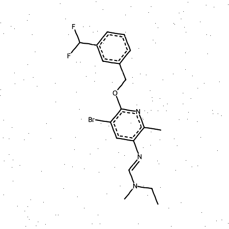 CCN(C)/C=N/c1cc(Br)c(OCc2cccc(C(F)F)c2)nc1C